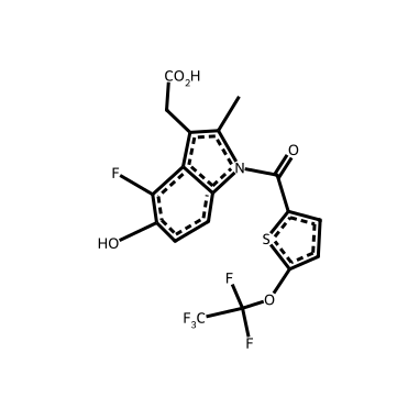 Cc1c(CC(=O)O)c2c(F)c(O)ccc2n1C(=O)c1ccc(OC(F)(F)C(F)(F)F)s1